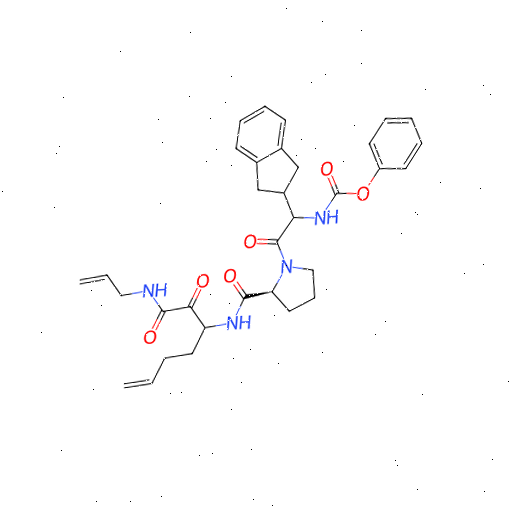 C=CCCC(NC(=O)[C@@H]1CCCN1C(=O)C(NC(=O)Oc1ccccc1)C1Cc2ccccc2C1)C(=O)C(=O)NCC=C